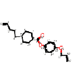 C=CCCC[C@H]1CC[C@H](C(=O)Oc2ccc(OCC=C)cc2)CC1